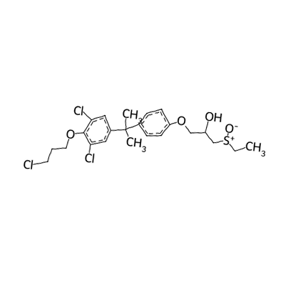 CC[S+]([O-])CC(O)COc1ccc(C(C)(C)c2cc(Cl)c(OCCCCl)c(Cl)c2)cc1